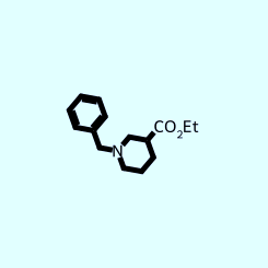 CCOC(=O)C1CCCN(Cc2ccccc2)C1